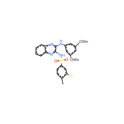 COc1cc(Nc2nc3ccccc3nc2NS(=O)(=O)c2ccc(C)c(F)c2)cc(OC)c1